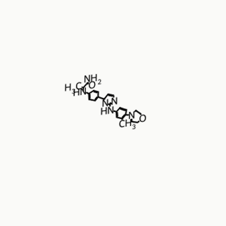 Cc1cc(Nc2nccc(-c3ccc(N[C@@H](C)C(N)=O)cc3)n2)ccc1N1CCOCC1